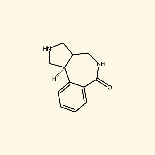 O=C1NCC2CNC[C@@H]2c2ccccc21